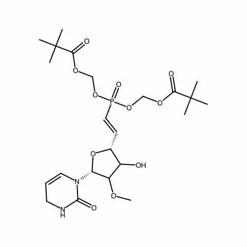 COC1C(O)[C@@H](/C=C/P(=O)(OCOC(=O)C(C)(C)C)OCOC(=O)C(C)(C)C)O[C@H]1N1C=CCNC1=O